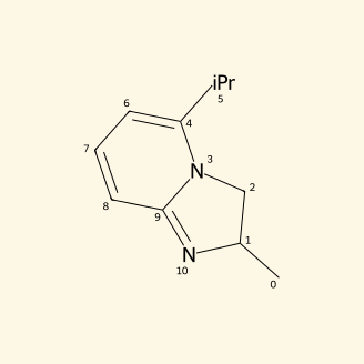 CC1CN2C(C(C)C)=CC=CC2=N1